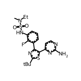 CCN(C)S(=O)(=O)Nc1cccc(-c2nc(C(C)(C)C)sc2-c2ccnc(N)n2)c1F